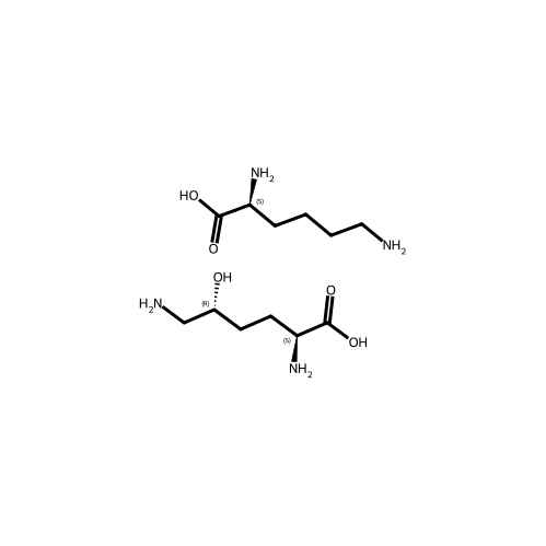 NCCCC[C@H](N)C(=O)O.NC[C@H](O)CC[C@H](N)C(=O)O